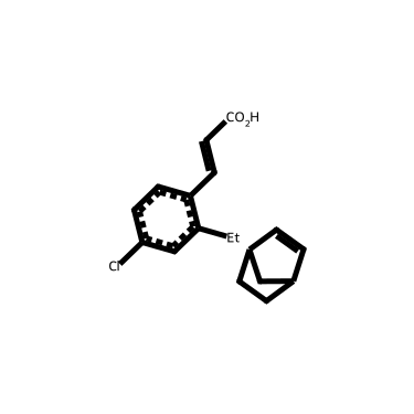 C1=CC2CCC1C2.CCc1cc(Cl)ccc1C=CC(=O)O